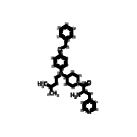 CC(C)CCN(c1ccc(OCc2ccccc2)cc1)C1CCN(C(=O)C(N)Cc2ccncc2)CC1